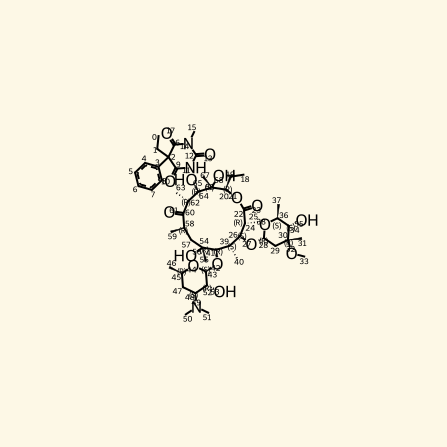 CCC1(c2ccccc2)C(=O)NC(=O)N(C)C1=O.CC[C@H]1OC(=O)[C@H](C)[C@@H](O[C@H]2C[C@@](C)(OC)[C@@H](O)[C@H](C)O2)[C@H](C)[C@@H](O[C@@H]2O[C@H](C)C[C@H](N(C)C)[C@H]2O)[C@](C)(O)C[C@@H](C)C(=O)[C@H](C)[C@@H](O)[C@]1(C)O